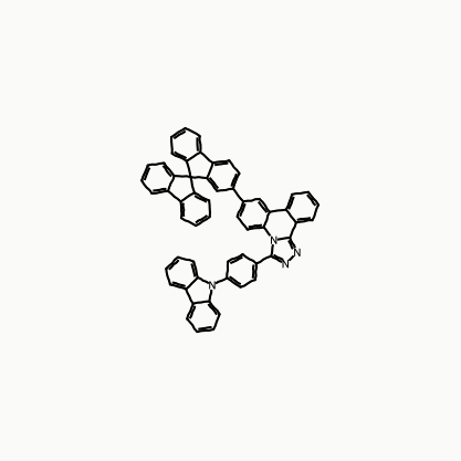 c1ccc2c(c1)-c1ccccc1C21c2ccccc2-c2ccc(-c3ccc4c(c3)c3ccccc3c3nnc(-c5ccc(-n6c7ccccc7c7ccccc76)cc5)n43)cc21